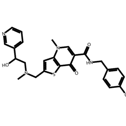 CN(Cc1cc2c(s1)c(=O)c(C(=O)NCc1ccc(Cl)cc1)cn2C)CC(O)c1cccnc1